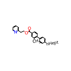 CCCCCCCc1ccc(-c2ccc(C(=O)OCCc3ccccn3)cc2C)cc1